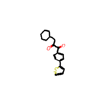 O=C(CC1CCCCC1)C(=O)c1ccc(-c2cccs2)cc1